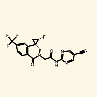 N#Cc1cnc(NC(=O)CN2C[C@@]3(C[C@@H]3F)c3cc(C(F)(F)F)ccc3C2=O)nc1